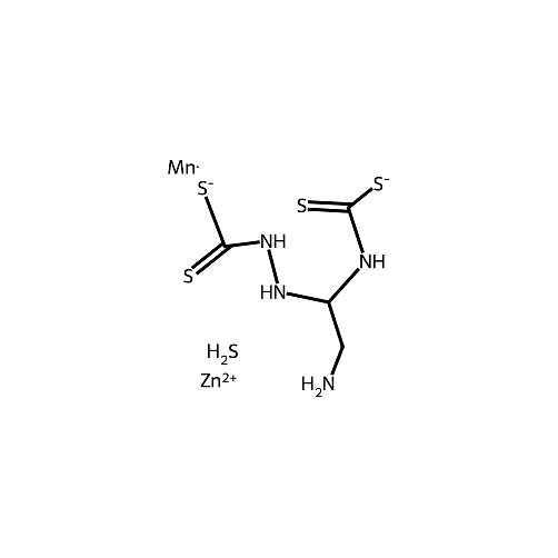 NCC(NNC(=S)[S-])NC(=S)[S-].S.[Mn].[Zn+2]